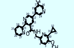 COc1ccc(CNC(=O)c2cc(-c3cncc(Cl)c3)cnc2-c2ccccn2)nc1C1CC1